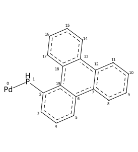 [Pd][PH]c1cccc2c3ccccc3c3ccccc3c12